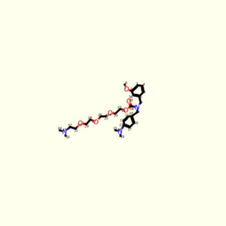 COc1cccc(CN(Cc2ccc(N(C)C)cc2)C(=O)OCCOCCOCCOCCN(C)C)c1